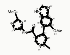 COc1nnc(NC(=O)c2cnc(C)cc2-c2cc3[nH]cnc3cc2OC)s1